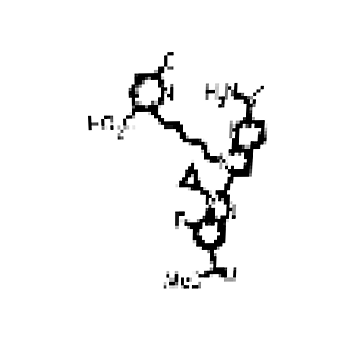 COC(=O)c1cc(F)c2c(c1)nc(-c1cc3ccc([C@@H](C)N)nc3n1CCCCCc1nc(Cl)ccc1C(=O)O)n2C1CC1